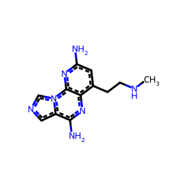 CNCCc1cc(N)nc2c1nc(N)c1cncn12